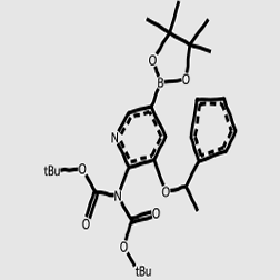 CC(Oc1cc(B2OC(C)(C)C(C)(C)O2)cnc1N(C(=O)OC(C)(C)C)C(=O)OC(C)(C)C)c1ccccc1